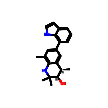 Cc1cc(-c2cccc3cc[nH]c23)cc2c1NC(C)(C)[C@H](O)[C@H]2C